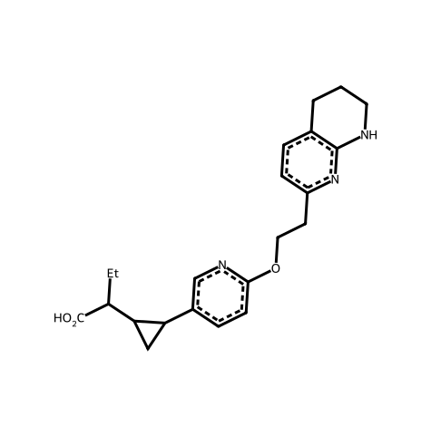 CCC(C(=O)O)C1CC1c1ccc(OCCc2ccc3c(n2)NCCC3)nc1